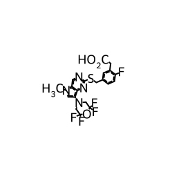 Cn1cc(N2CC(F)(F)OC(F)(F)C2)c2nc(SCc3ccc(F)c(CC(=O)O)c3)ncc21